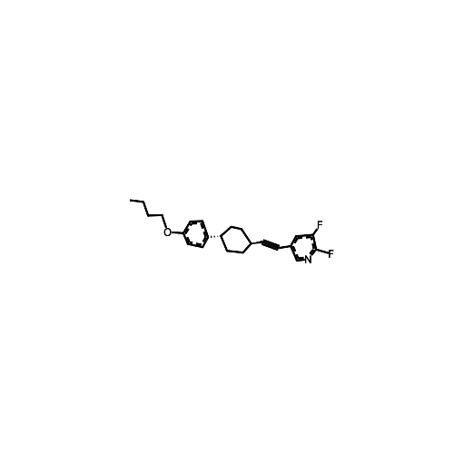 CCCCOc1ccc([C@H]2CC[C@H](C#Cc3cnc(F)c(F)c3)CC2)cc1